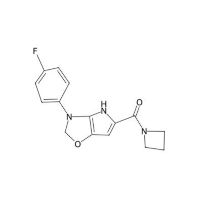 O=C(c1cc2c([nH]1)N(c1ccc(F)cc1)CO2)N1CCC1